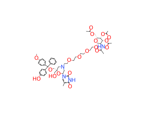 COc1ccc(C(OC[C@]2(CO)CN(CCOCCOCCOCCO[C@@H]3O[C@H](COC(C)=O)[C@H](OC(C)=O)[C@H](OC(C)=O)[C@H]3NC(C)=O)C[C@H](n3cc(C)c(=O)[nH]c3=O)O2)(c2ccccc2)c2ccc(O)cc2)cc1